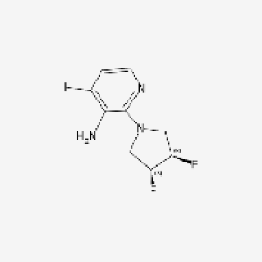 Nc1c(I)ccnc1N1C[C@@H](F)[C@@H](F)C1